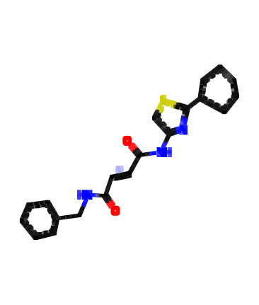 O=C(/C=C/C(=O)Nc1csc(-c2ccccc2)n1)NCc1ccccc1